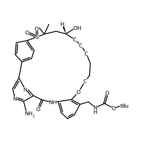 CC(C)(C)OC(=O)NCc1cccc2c1OCCCCCC[C@@H](O)CC(C)(C)S(=O)(=O)c1ccc(cc1)-c1cnc(N)c(n1)C(=O)N2